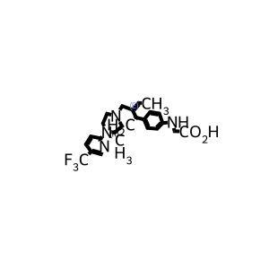 C=C(/C(=C\C)CN1CCN(c2ccc(C(F)(F)F)cn2)[C@H](C)C1)c1ccc(NCC(=O)O)cc1